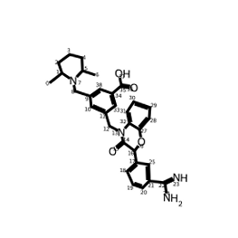 CC1CCCC(C)N1Cc1cc(CN2C(=O)C(c3cccc(C(=N)N)c3)Oc3ccccc32)cc(C(=O)O)c1